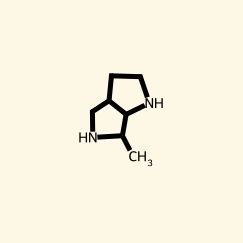 CC1NCC2CCNC21